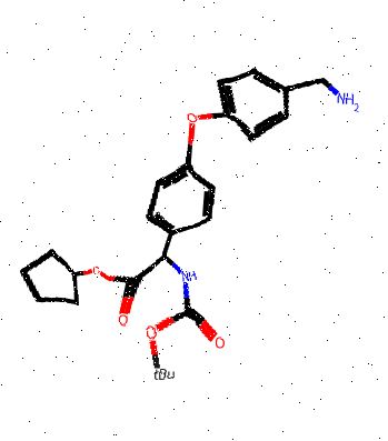 CC(C)(C)OC(=O)NC(C(=O)OC1CCCC1)c1ccc(Oc2ccc(CN)cc2)cc1